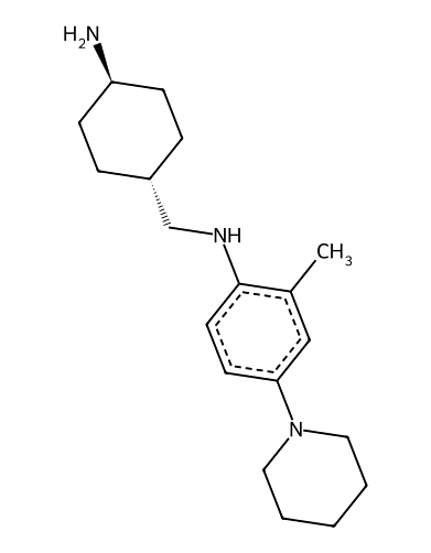 Cc1cc(N2CCCCC2)ccc1NC[C@H]1CC[C@H](N)CC1